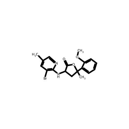 COc1ccccc1C1(C)CC(Nc2ncc(C)cc2Br)C(=O)O1